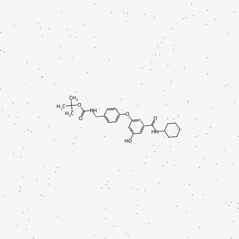 CC(C)(C)OC(=O)NCc1ccc(Oc2cc(O)cc(C(=O)NC3CC[CH]CC3)c2)cc1